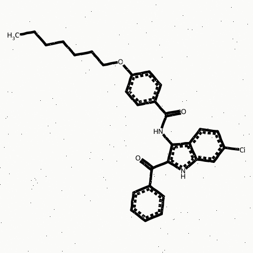 CCCCCCCOc1ccc(C(=O)Nc2c(C(=O)c3ccccc3)[nH]c3cc(Cl)ccc23)cc1